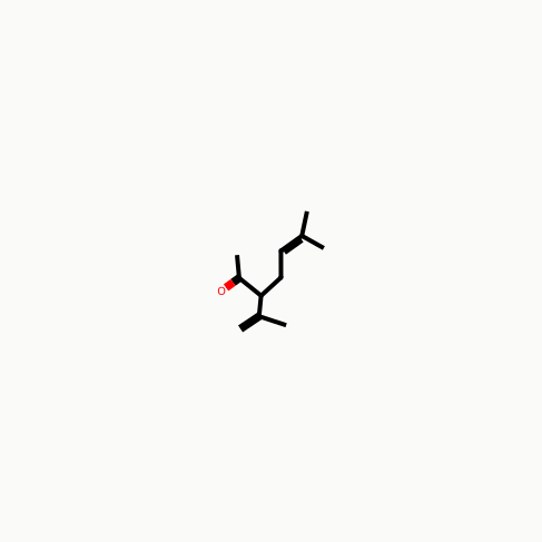 C=C(C)C(CC=C(C)C)C(C)=O